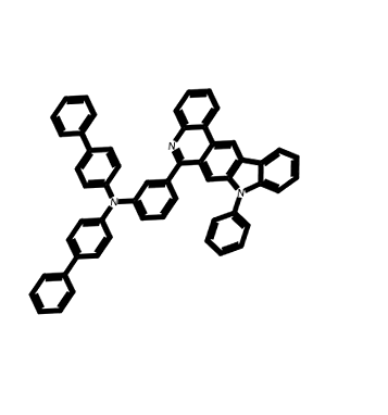 c1ccc(-c2ccc(N(c3ccc(-c4ccccc4)cc3)c3cccc(-c4nc5ccccc5c5cc6c7ccccc7n(-c7ccccc7)c6cc45)c3)cc2)cc1